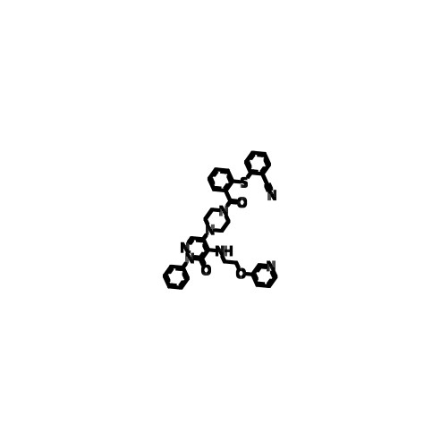 N#Cc1ccccc1Sc1ccccc1C(=O)N1CCN(c2cnn(-c3ccccc3)c(=O)c2NCCOc2cccnc2)CC1